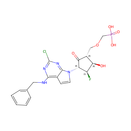 O=C1[C@@H](n2ccc3c(NCc4ccccc4)nc(Cl)nc32)[C@H](F)[C@H](O)[C@H]1COCP(=O)(O)O